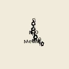 COc1cc(-n2cnc3cc(-c4ccc(Cl)cc4)sc3c2=O)ccc1NC(=O)CN1CCCC1